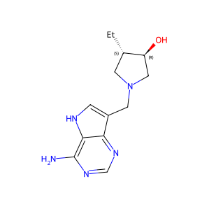 CC[C@H]1CN(Cc2c[nH]c3c(N)ncnc23)C[C@@H]1O